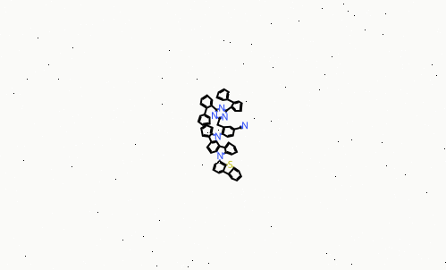 N#Cc1ccc(-n2c3ccccc3c3ccc4c(c5ccccc5n4-c4cccc5c4sc4ccccc45)c32)c(Cc2nc(-c3ccccc3-c3ccccc3)nc(-c3ccccc3-c3ccccc3)n2)c1